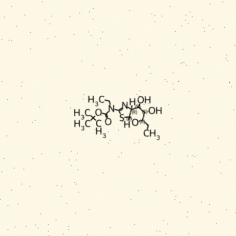 CC[C@H]1O[C@@H]2SC(N(CC)C(=O)OC(C)(C)C)=N[C@@H]2[C@@H](O)[C@@H]1O